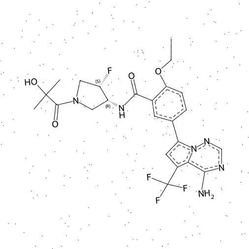 CCOc1ccc(-c2cc(C(F)(F)F)c3c(N)ncnn23)cc1C(=O)N[C@@H]1CN(C(=O)C(C)(C)O)C[C@@H]1F